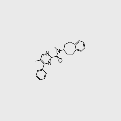 Cc1cnc(C(=O)N(C)C2CCc3ccccc3CC2)nc1-c1ccccc1